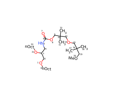 CCCCCCCCOCC(CNC(=O)OCC(C)(C)COCC(C)(C)COC)OCCCCCCCC